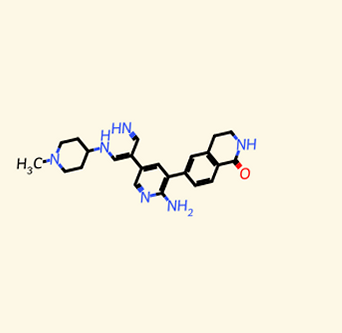 CN1CCC(N/C=C(\C=N)c2cnc(N)c(-c3ccc4c(c3)CCNC4=O)c2)CC1